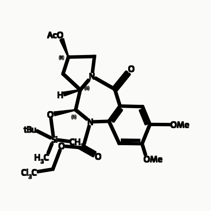 COc1cc2c(cc1OC)N(C(=O)OCC(Cl)(Cl)Cl)[C@@H](O[Si](C)(C)C(C)(C)C)[C@@H]1C[C@@H](OC(C)=O)CN1C2=O